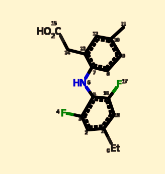 CCc1cc(F)c(Nc2ccc(C)cc2CC(=O)O)c(F)c1